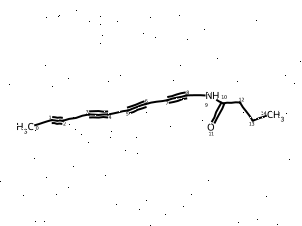 CC#CC#CC#CC#CNC(=O)CCC